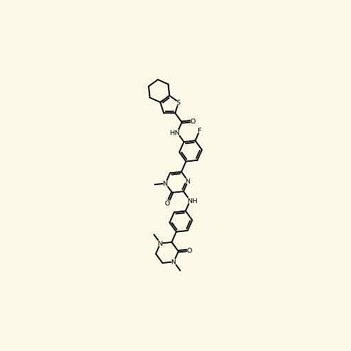 CN1CCN(C)C(c2ccc(Nc3nc(-c4ccc(F)c(NC(=O)c5cc6c(s5)CCCC6)c4)cn(C)c3=O)cc2)C1=O